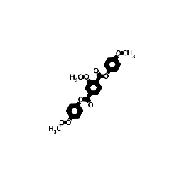 COOc1ccc(OC(=O)c2ccc(C(=O)Oc3ccc(OC)cc3)c(OC)c2)cc1